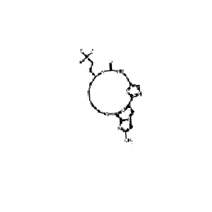 Cc1cn2cc3nc(c2n1)OCCCCCC(CCC(F)(F)F)NC(=O)NCc1cnc-3s1